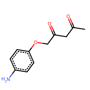 CC(=O)CC(=O)COc1ccc(N)cc1